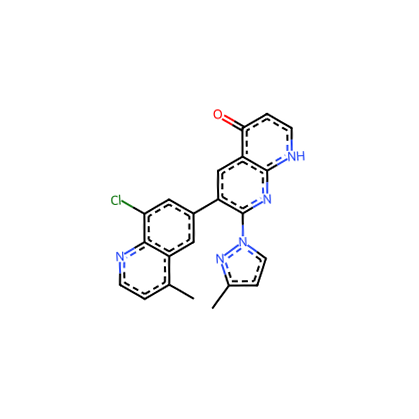 Cc1ccn(-c2nc3[nH]ccc(=O)c3cc2-c2cc(Cl)c3nccc(C)c3c2)n1